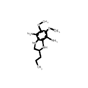 CCCC1CNc2c(N)c(OC)c(OC)c(N)c2N1